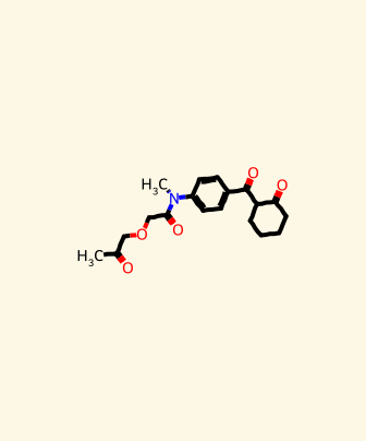 CC(=O)COCC(=O)N(C)c1ccc(C(=O)C2CCCCC2=O)cc1